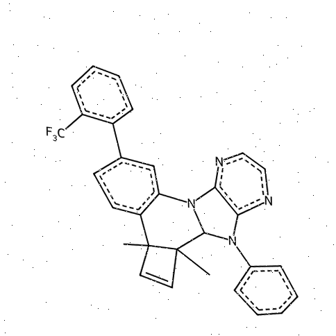 CC12C=CC1(C)C1N(c3ccccc3)c3nccnc3N1c1cc(-c3ccccc3C(F)(F)F)ccc12